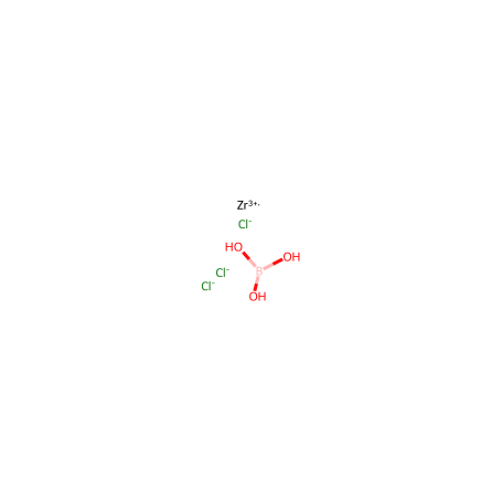 OB(O)O.[Cl-].[Cl-].[Cl-].[Zr+3]